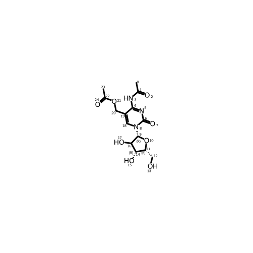 CC(=O)Nc1nc(=O)n([C@@H]2O[C@H](CO)[C@H](O)C2O)cc1COC(C)=O